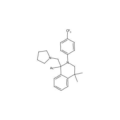 CC(=O)C1(CN2CCCC2)c2ccccc2C(C)(C)CN1c1ccc(C(F)(F)F)cc1